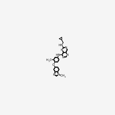 Cc1cc(Nc2ncnc3cnc(NCC4CC4)nc23)ccc1Oc1ccc2c(c1)ncn2C